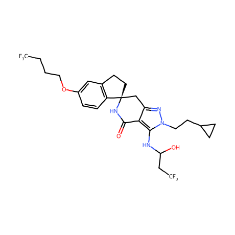 O=C1N[C@@]2(CCc3cc(OCCCC(F)(F)F)ccc32)Cc2nn(CCC3CC3)c(NC(O)CC(F)(F)F)c21